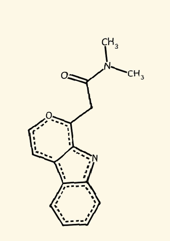 CN(C)C(=O)Cc1occc2c3ccccc3nc1-2